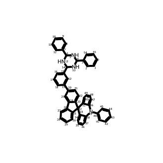 c1ccc(C2NC(c3ccccc3)NC(c3cccc(-c4ccc5c(c4)-c4ccccc4C54c5ccccc5N(c5ccccc5)c5ccccc54)c3)N2)cc1